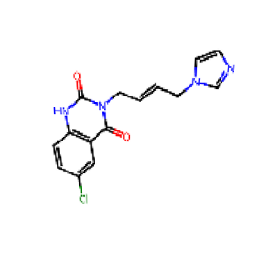 O=c1[nH]c2ccc(Cl)cc2c(=O)n1C/C=C/Cn1ccnc1